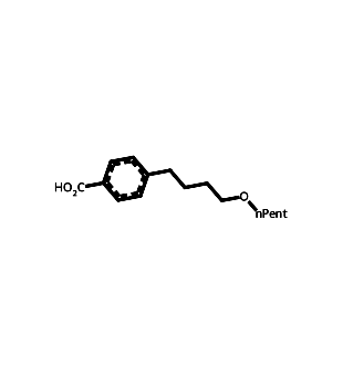 CCCCCOCCCCc1ccc(C(=O)O)cc1